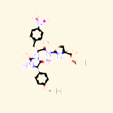 COC(=O)c1csc(NC(=O)[C@H](Cc2ccc([N+](=O)[O-])cc2)N2C(=O)N[C@H](c3ccc(OC)cc3)C2=O)n1